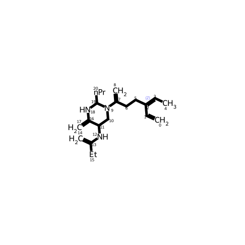 C=C/C(=C\C)CCC(=C)N1CC(NC(=C)CC)C(=C)NC1CCC